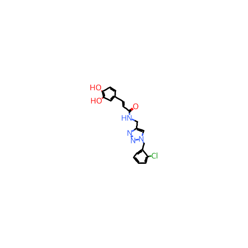 O=C(/C=C/c1ccc(O)c(O)c1)NCc1cn(Cc2ccccc2Cl)nn1